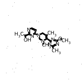 COc1nc(C)nc(C2=C(C)CN(c3ccnc([C@@H](C)O)n3)CN2C)n1